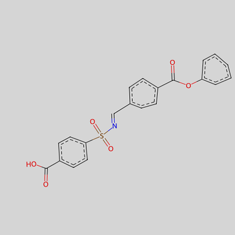 O=C(O)c1ccc(S(=O)(=O)N=Cc2ccc(C(=O)Oc3ccccc3)cc2)cc1